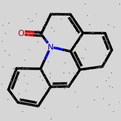 O=C1CC=C2C=CCC3=C2N1C1C=CC=CC1=C3